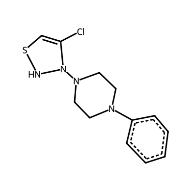 ClC1=CSNN1N1CCN(c2ccccc2)CC1